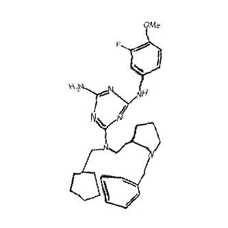 COc1ccc(Nc2nc(N)nc(N(CC3CCCCC3)CC3CCCN3Cc3ccccc3)n2)cc1F